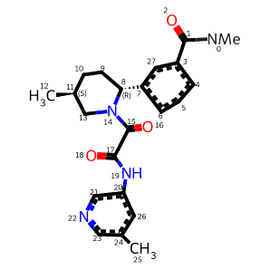 CNC(=O)c1cccc([C@H]2CC[C@H](C)CN2C(=O)C(=O)Nc2cncc(C)c2)c1